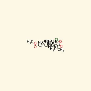 CCOC(=O)C1CC=C(C2=CC[C@]3(C)[C@H]4CC[C@@H]5C6=C(C(C)C)C(=O)C[C@]6(C(=O)Cl)CC[C@@]5(C)[C@]4(C)CC[C@H]3C2(C)C)CC1